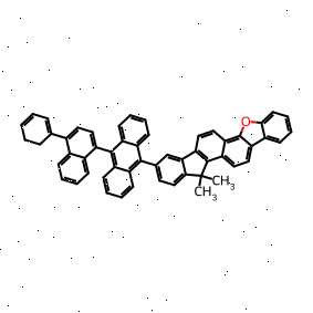 CC1(C)c2ccc(-c3c4ccccc4c(-c4ccc(C5=CC=CCC5)c5ccccc45)c4ccccc34)cc2-c2ccc3c(ccc4c5ccccc5oc34)c21